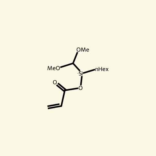 C=CC(=O)O[Si](CCCCCC)C(OC)OC